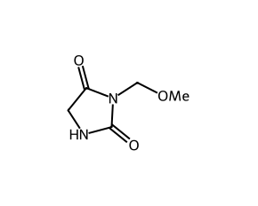 COCN1C(=O)CNC1=O